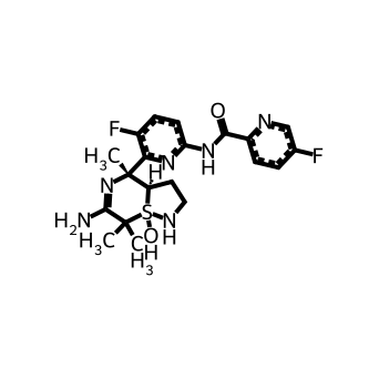 CC1(C)C(N)=N[C@](C)(c2nc(NC(=O)c3ccc(F)cn3)ccc2F)[C@H]2CCNS21O